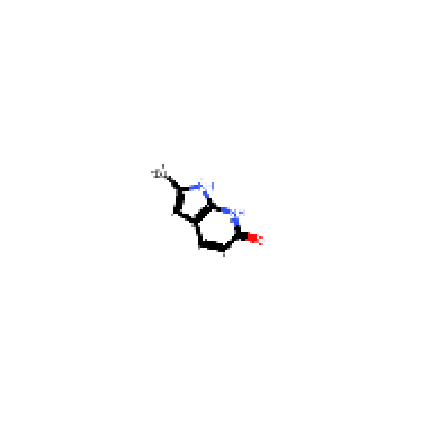 CC(C)(C)c1cc2ccc(=O)[nH]c2[nH]1